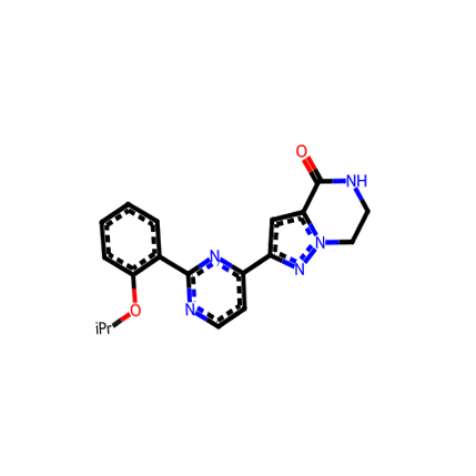 CC(C)Oc1ccccc1-c1nccc(-c2cc3n(n2)CCNC3=O)n1